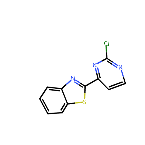 Clc1nccc(-c2nc3ccccc3s2)n1